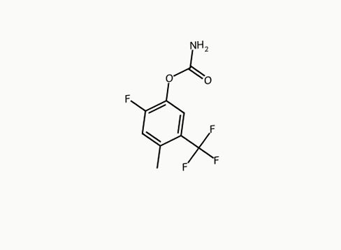 Cc1cc(F)c(OC(N)=O)cc1C(F)(F)F